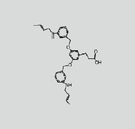 CC=CCNc1cccc(COc2cc(CCC(=O)O)cc(OCc3cccc(NCC=CC)c3)c2)c1